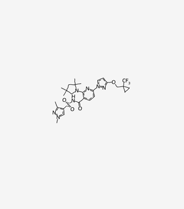 Cc1nn(C)cc1S(=O)(=O)NC(=O)c1ccc(-n2ccc(OCC3(C(F)(F)F)CC3)n2)nc1N1CC(C)(C)CC1(C)C